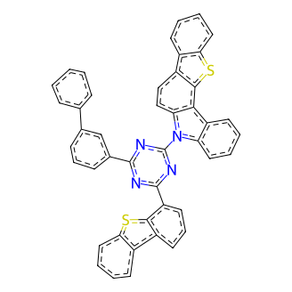 c1ccc(-c2cccc(-c3nc(-c4cccc5c4sc4ccccc45)nc(-n4c5ccccc5c5c6sc7ccccc7c6ccc54)n3)c2)cc1